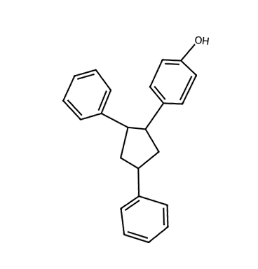 Oc1ccc(C2CC(c3ccccc3)CC2c2ccccc2)cc1